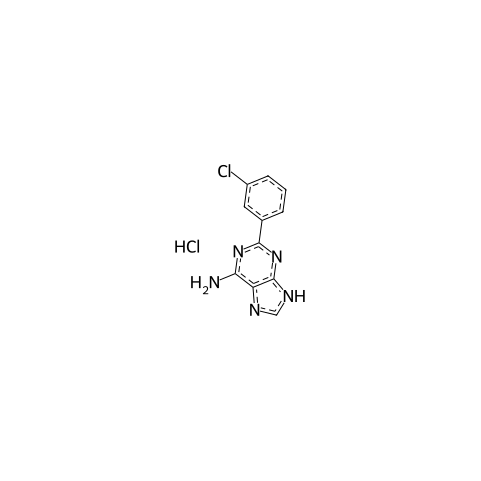 Cl.Nc1nc(-c2cccc(Cl)c2)nc2[nH]cnc12